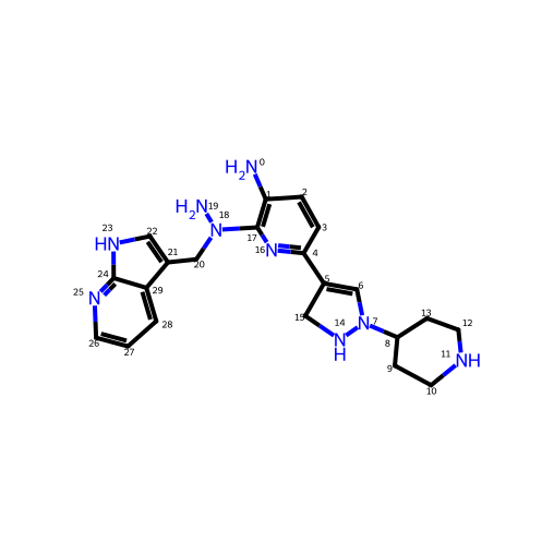 Nc1ccc(C2=CN(C3CCNCC3)NC2)nc1N(N)Cc1c[nH]c2ncccc12